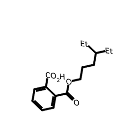 CCC(CC)CCCOC(=O)c1ccccc1C(=O)O